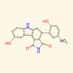 O=C1NC(=O)c2c1c(-c1cc([N+](=O)[O-])ccc1O)cc1[nH]c3ccc(O)cc3c21